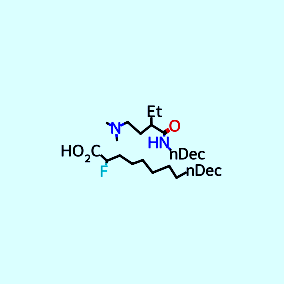 CCCCCCCCCCCCCCCCC(F)C(=O)O.CCCCCCCCCCNC(=O)C(CC)CCN(C)C